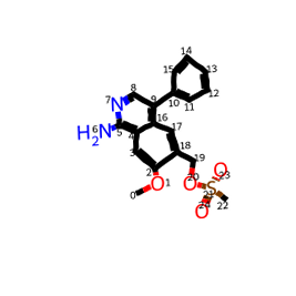 COc1cc2c(N)ncc(-c3ccccc3)c2cc1COS(C)(=O)=O